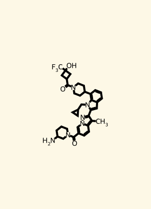 Cc1c(-c2cc3cccc(C4CCN(C(=O)C5CC(O)(C(F)(F)F)C5)CC4)c3n2CC2CC2)nn2cc(C(=O)N3CCCC(N)C3)ccc12